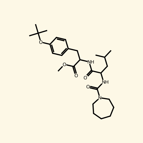 COC(=O)C(Cc1ccc(OC(C)(C)C)cc1)NC(=O)C(CC(C)C)NC(=O)N1CCCCCC1